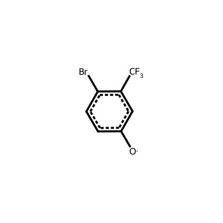 [O]c1ccc(Br)c(C(F)(F)F)c1